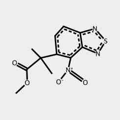 COC(=O)C(C)(C)c1ccc2nsnc2c1[N+](=O)[O-]